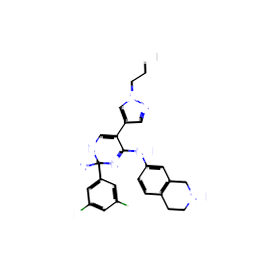 CCCn1cc(C2=CNC(N)(c3cc(F)cc(Cl)c3)N=C2Nc2ccc3c(c2)CNCC3)cn1